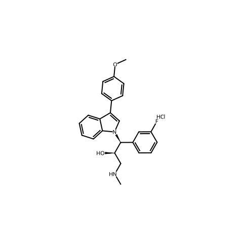 CNC[C@@H](O)[C@H](c1cccc(F)c1)n1cc(-c2ccc(OC)cc2)c2ccccc21.Cl